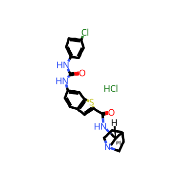 Cl.O=C(Nc1ccc(Cl)cc1)Nc1ccc2cc(C(=O)N[C@H]3CN4CCC3CC4)sc2c1